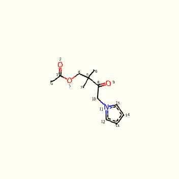 CC(=O)OCC(C)(C)C(=O)Cn1cccc1